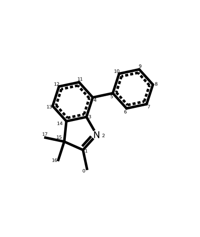 CC1=Nc2c(-c3ccccc3)cccc2C1(C)C